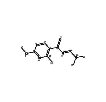 COc1ccc(C(=O)/N=C/N(C)C)c(C)n1